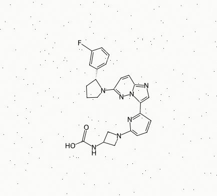 O=C(O)NC1CN(c2cccc(-c3cnc4ccc(N5CCC[C@@H]5c5cccc(F)c5)nn34)n2)C1